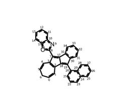 C1=CC2=C(C=CC1)C(c1nc3ccccc3o1)=C1C2=C(c2cccc3ccccc23)c2ccccc21